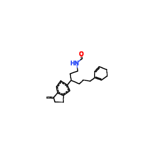 C=C1CCc2cc(C(CCCC3=CCCC=C3)CCNC=O)ccc21